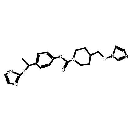 CC(Sc1ncc[nH]1)c1ccc(OC(=O)N2CCC(COn3ccnc3)CC2)cc1